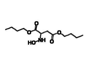 CCCCOC(=O)CC(NO)C(=O)OCCCC